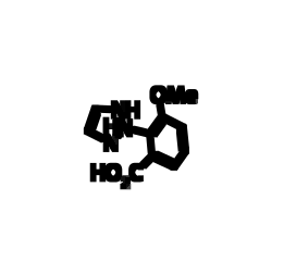 COc1cccc(C(=O)O)c1N1NC=CN1